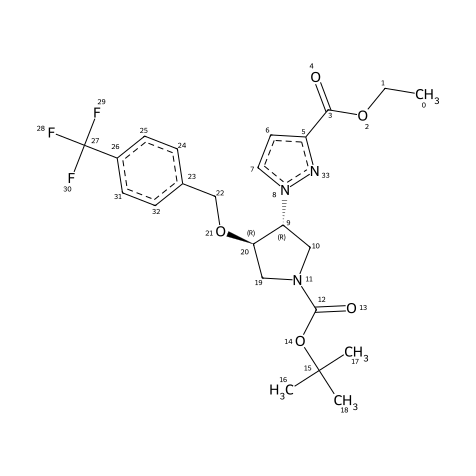 CCOC(=O)c1ccn([C@@H]2CN(C(=O)OC(C)(C)C)C[C@H]2OCc2ccc(C(F)(F)F)cc2)n1